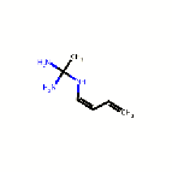 C=C/C=C\NC(C)(N)N